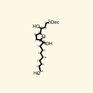 CCCCCCCCCCCCC(O)C1CCC(C(O)CCCCCCCCO)O1